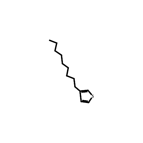 CCCCCCCCCc1c[c]sc1